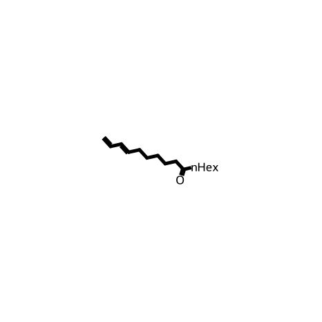 C=CC=CCCCCCC(=O)CCCCCC